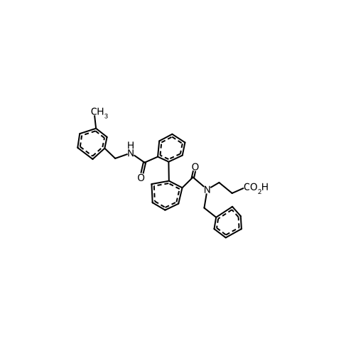 Cc1cccc(CNC(=O)c2ccccc2-c2ccccc2C(=O)N(CCC(=O)O)Cc2ccccc2)c1